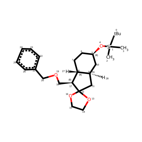 CC(C)(C)[Si](C)(C)O[C@@H]1CC[C@@H]2[C@@H](C1)CC1(OCCO1)[C@H]2COCc1ccccc1